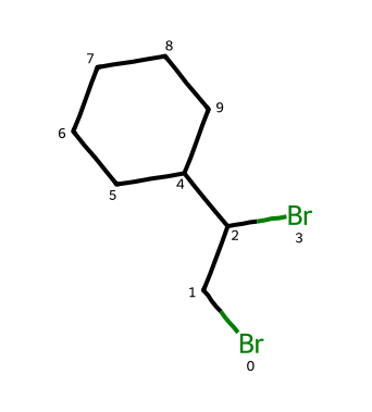 BrCC(Br)C1CCCCC1